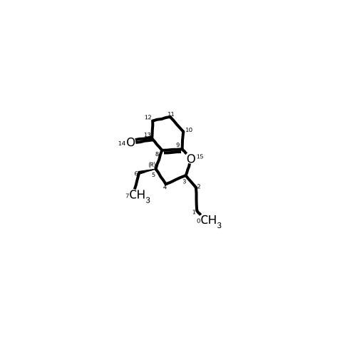 CCCC1C[C@@H](CC)C2=C(CCCC2=O)O1